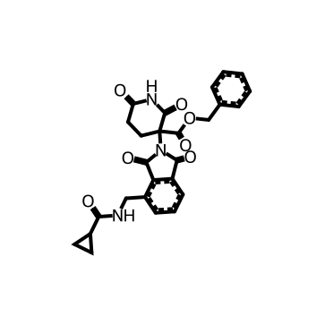 O=C1CCC(C(=O)OCc2ccccc2)(N2C(=O)c3cccc(CNC(=O)C4CC4)c3C2=O)C(=O)N1